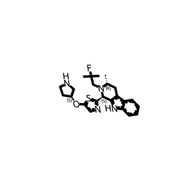 C[C@@H]1Cc2c([nH]c3ccccc23)[C@@H](c2ncc(O[C@H]3CCNC3)s2)N1CC(C)(C)F